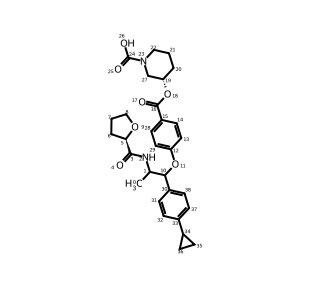 CC(NC(=O)[C@H]1CCCO1)C(Oc1ccc(C(=O)O[C@H]2CCCN(C(=O)O)C2)cc1)c1ccc(C2CC2)cc1